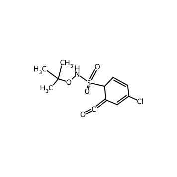 CC(C)(C)ONS(=O)(=O)C1C=CC(Cl)=CC1=C=O